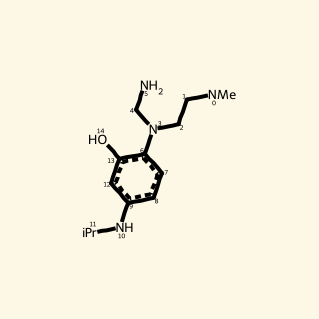 CNCCN(CN)c1ccc(NC(C)C)cc1O